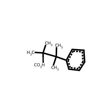 CC(C)(C(=O)O)C(C)(C)c1ccccc1